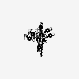 CCCCCCCCCCNc1c(N[C@H]2C(COCc3ccc(OC)cc3)OCC(NC(=O)Nc3cccc(C(F)(F)F)c3)[C@H]2O[C@@H]2OC(COCc3ccc(OC)cc3)[C@H](OCc3ccc(OC)cc3)[C@H](OCc3ccc(OC)cc3)C2NC(=O)Nc2cccc(C(F)(F)F)c2)c(=O)c1=O